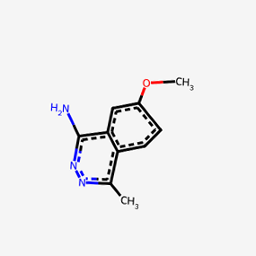 COc1ccc2c(C)nnc(N)c2c1